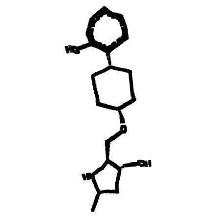 CC1C[C@@H](O)[C@H](CO[C@H]2CC[C@@H](c3ccccc3O)CC2)N1